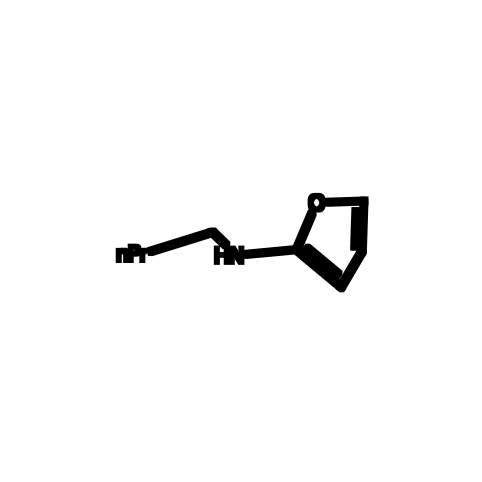 [CH2]CCCNc1ccco1